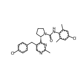 Cc1ncc(Cc2ccc(Cl)cc2)c([C@H]2CCCN2C(=O)Nc2c(C)cc(Cl)cc2C)n1